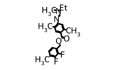 CCN(C)/C=N/c1cc(C)c(C(=O)OCc2ccc(C)c(F)c2F)cc1C